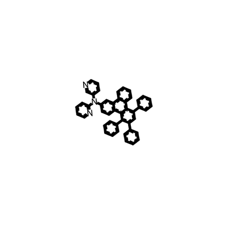 c1ccc(-c2cc(-c3ccccc3)c3c4ccccc4c4cc(N(c5cccnc5)c5ccccn5)ccc4c3c2-c2ccccc2)cc1